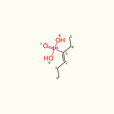 CCC=C(CC)P(=O)(O)O